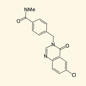 CNC(=O)c1ccc(Cn2cnc3ccc(Cl)cc3c2=O)cc1